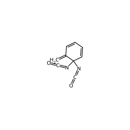 C=C1C=CC=CC1(N=C=O)N=C=O